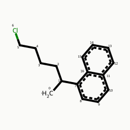 [CH2]C(CCCCCl)c1cccc2ccccc12